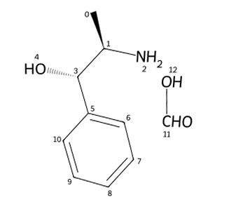 C[C@@H](N)[C@@H](O)c1ccccc1.O=CO